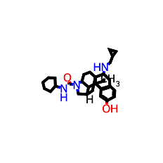 CCC12c3cc(O)ccc3CC(NCC3CC3)C13CCC1C2[C@@H](CN1C(=O)NC1CCCCC1)C3